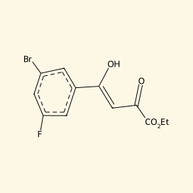 CCOC(=O)C(=O)/C=C(\O)c1cc(F)cc(Br)c1